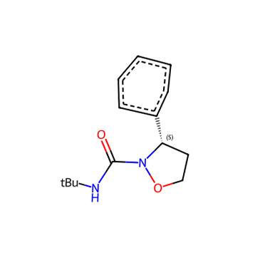 CC(C)(C)NC(=O)N1OCC[C@H]1c1ccccc1